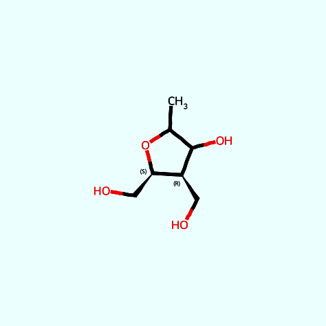 CC1O[C@H](CO)[C@H](CO)C1O